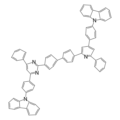 c1ccc(-c2cc(-c3ccc(-n4c5ccccc5c5ccccc54)cc3)cc(-c3ccc(-c4ccc(-c5nc(-c6ccccc6)cc(-c6ccc(-n7c8ccccc8c8ccccc87)cc6)n5)cc4)cc3)n2)cc1